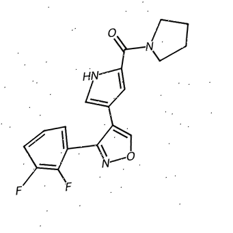 O=C(c1cc(-c2conc2-c2cccc(F)c2F)c[nH]1)N1CCCC1